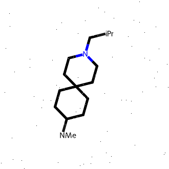 CNC1CCC2(CC1)CCN(CC(C)C)CC2